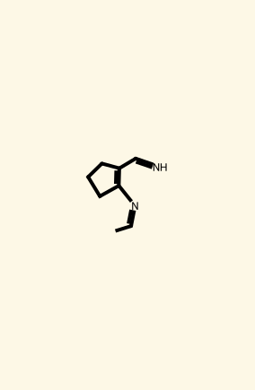 C/C=N\C1=C(C=N)CCC1